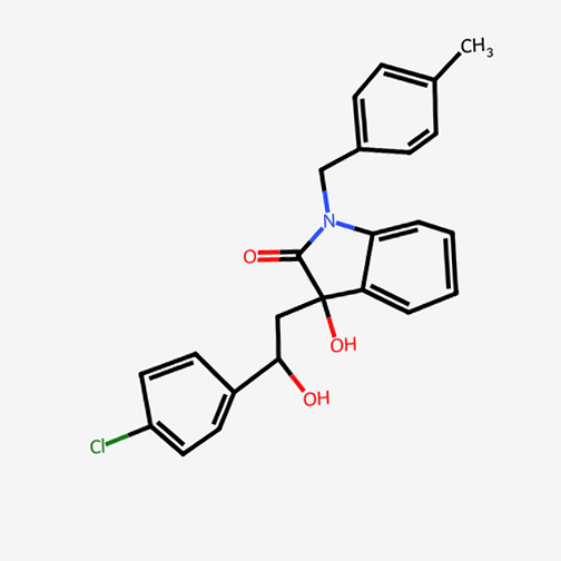 Cc1ccc(CN2C(=O)C(O)(CC(O)c3ccc(Cl)cc3)c3ccccc32)cc1